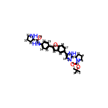 CC(C)(C)OC(=O)N1CCC[C@H]1c1ncc(-c2ccc3oc(-c4ccc(NC(=O)[C@@H]5CCCN5)cc4)cc3c2)[nH]1